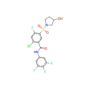 O=C(Nc1cc(F)c(F)c(F)c1)c1cc(S(=O)(=O)N2CCC(O)C2)c(F)cc1Cl